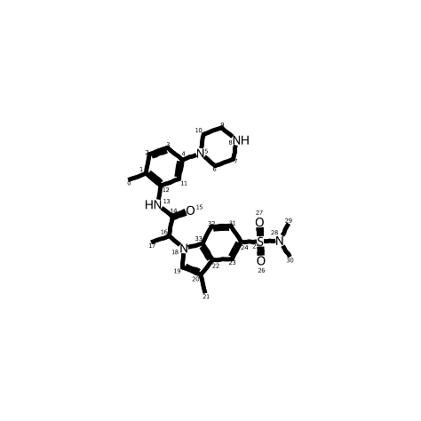 Cc1ccc(N2CCNCC2)cc1NC(=O)C(C)n1cc(C)c2cc(S(=O)(=O)N(C)C)ccc21